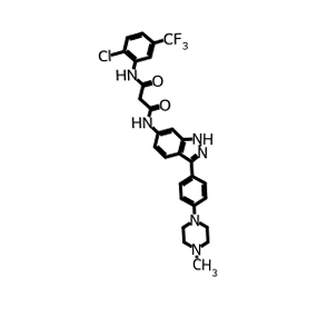 CN1CCN(c2ccc(-c3n[nH]c4cc(NC(=O)CC(=O)Nc5cc(C(F)(F)F)ccc5Cl)ccc34)cc2)CC1